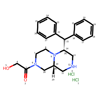 Cl.Cl.O=C(CO)N1CCN2[C@H](CNC[C@H]2C(c2ccccc2)c2ccccc2)C1